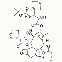 CC(=O)O[C@@]12COC1C[C@H](O)C1[C@@H]2[C@H](OC(=O)c2ccccc2)[C@]2(O)C[C@H](OC(=O)[C@H](O)[C@@H](NC(=O)OC(C)(C)C)c3ccccc3)C(C)=C([C@H]3OC(C=O)O[C@@H]13)C2(C)C